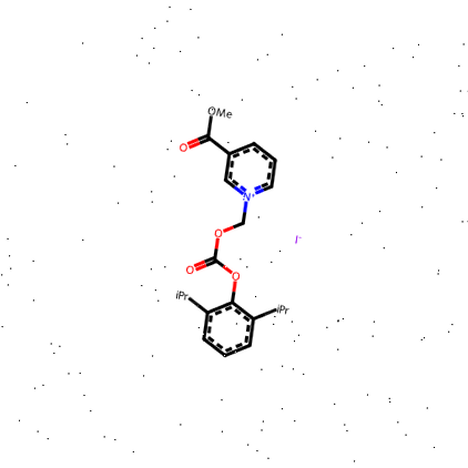 COC(=O)c1ccc[n+](COC(=O)Oc2c(C(C)C)cccc2C(C)C)c1.[I-]